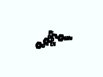 CSc1ccc(C=CC(C(=O)OC(C#N)c2cccc(Oc3ccccc3)n2)C(C)C)cc1